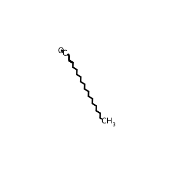 CCCCCCCCCCCCCCCCC=CC=C=O